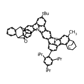 Cc1cc2c(c3c1C1CCC3CC1)c1cc(-c3c(C(C)C)cc(C(C)C)cc3C(C)C)cc3c4cc5c(cc4n2c31)c1cc(C(C)(C)C)cc2c3cc4c(cc3n5c21)C(=O)C1c2ccccc2C4c2ccccc21